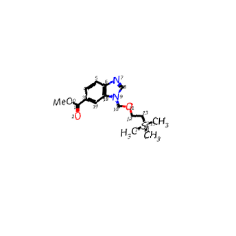 COC(=O)c1ccc2ncn(COCC[Si](C)(C)C)c2c1